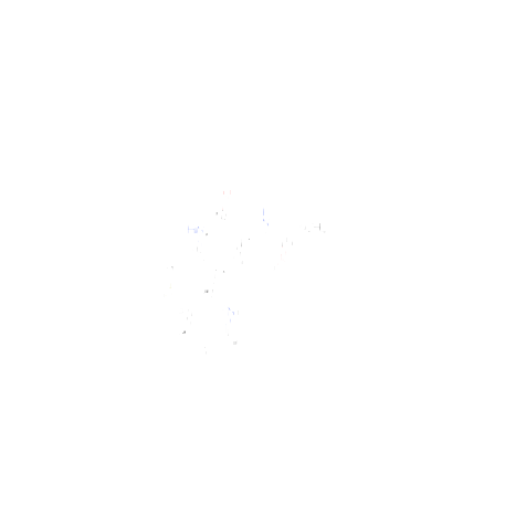 CC(=O)Nc1cc2c([nH]c1=O)CSc1cccnc1-2